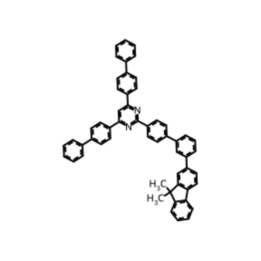 CC1(C)c2ccccc2-c2ccc(-c3cccc(-c4ccc(-c5nc(-c6ccc(-c7ccccc7)cc6)cc(-c6ccc(-c7ccccc7)cc6)n5)cc4)c3)cc21